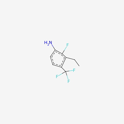 CCc1c(C(F)(F)F)ccc(N)c1F